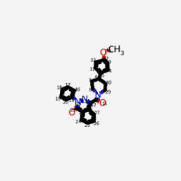 COc1ccc(C2CCN(C(=O)c3nn(-c4ccccc4)c(=O)c4ccccc34)CC2)cc1